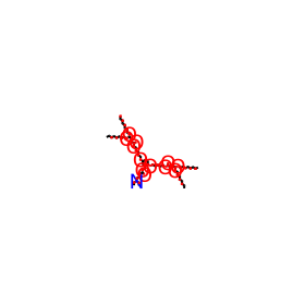 CCCCCCCCOC(CCC(=O)OCCCCCOc1ccc(OCCCCCOC(=O)CCC(OCCCCCCCC)OCCCCCCCC)c(COC(=O)CCCN(CC)CC)c1)OCCCCCCCC